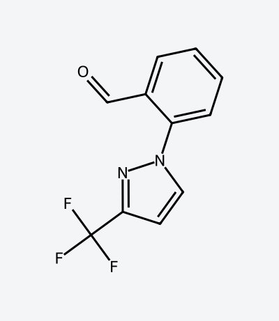 O=Cc1ccccc1-n1ccc(C(F)(F)F)n1